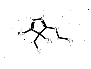 CC1(CBr)C(OCC(F)(F)F)=NN=C1C(F)(F)F